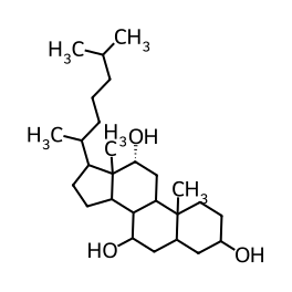 CC(C)CCCC(C)C1CCC2C3C(O)CC4CC(O)CCC4(C)C3C[C@@H](O)C12C